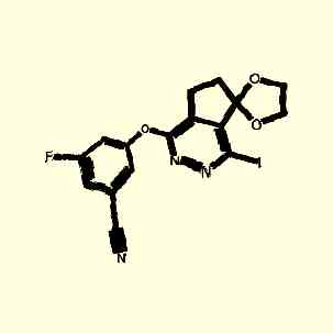 N#Cc1cc(F)cc(Oc2nnc(I)c3c2CCC32OCCO2)c1